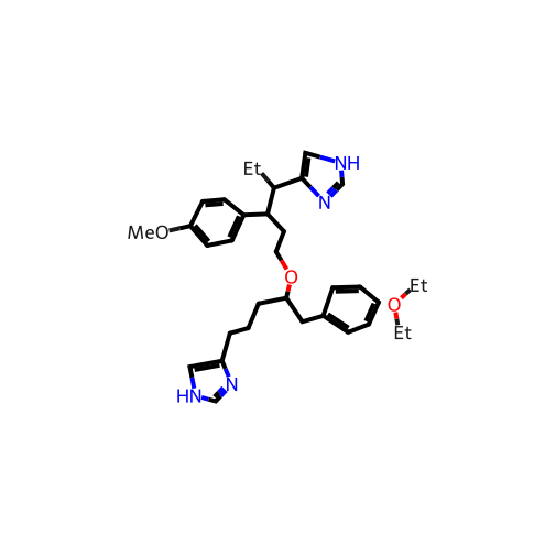 CCC(c1c[nH]cn1)C(CCOC(CCCc1c[nH]cn1)Cc1ccccc1)c1ccc(OC)cc1.CCOCC